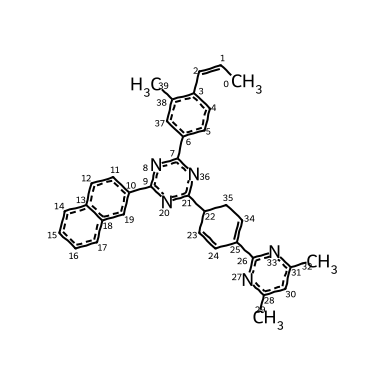 C/C=C\c1ccc(-c2nc(-c3ccc4ccccc4c3)nc(C3C=CC(c4nc(C)cc(C)n4)=CC3)n2)cc1C